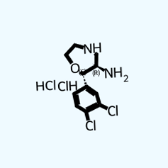 Cl.Cl.N[C@@H]1CNCCO[C@H]1c1ccc(Cl)c(Cl)c1